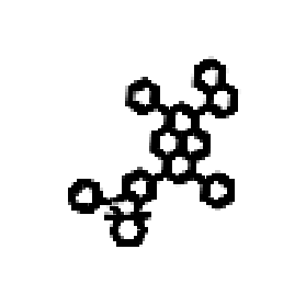 CC12CCCCC1(C)c1cc(-c3cc(-c4ccccc4)c4ccc5c(-c6cccc7ccccc67)cc(-c6ccccc6)c6ccc3c4c65)ccc1B2c1ccccc1